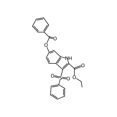 CCOC(=O)c1[nH]c2cc(OC(=O)c3ccccc3)ccc2c1S(=O)(=O)c1ccccc1